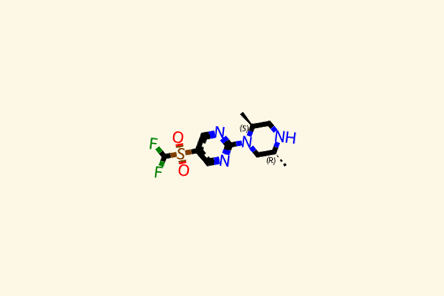 C[C@@H]1CN(c2ncc(S(=O)(=O)C(F)F)cn2)[C@@H](C)CN1